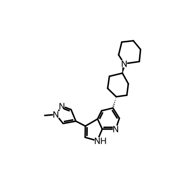 Cn1cc(-c2c[nH]c3ncc([C@H]4CC[C@H](N5CCCCC5)CC4)cc23)cn1